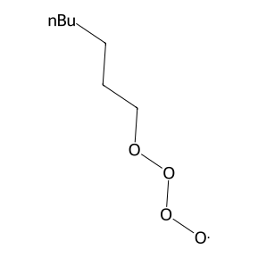 CCCCCCCOOO[O]